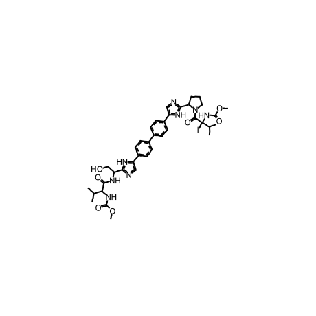 COC(=O)NC(C(=O)NC(CO)c1ncc(-c2ccc(-c3ccc(-c4cnc(C5CCCN5C(=O)C(I)(NC(=O)OC)C(C)C)[nH]4)cc3)cc2)[nH]1)C(C)C